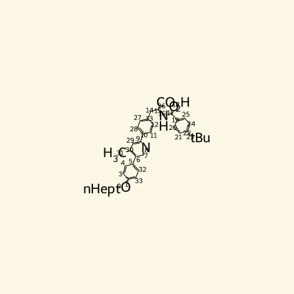 CCCCCCCOc1ccc(-c2cnc(-c3ccc(C[C@H](NC(=O)c4ccc(C(C)(C)C)cc4)C(=O)O)cc3)cc2C)cc1